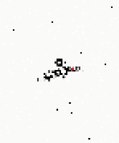 CCCCC1(CC)CN(c2ccccc2)c2cc(Cl)c(O/C=C(\F)C(=O)O)cc2[S+]([O-])C1